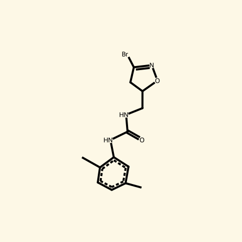 Cc1ccc(C)c(NC(=O)NCC2CC(Br)=NO2)c1